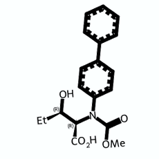 CC[C@@H](O)[C@H](C(=O)O)N(C(=O)OC)c1ccc(-c2ccccc2)cc1